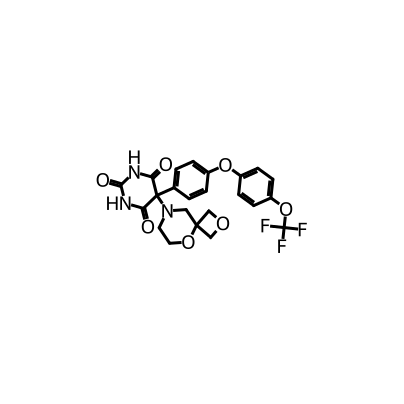 O=C1NC(=O)C(c2ccc(Oc3ccc(OC(F)(F)F)cc3)cc2)(N2CCOC3(COC3)C2)C(=O)N1